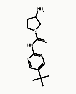 CC(C)(C)c1cnc(NC(=O)N2CCC(N)C2)nc1